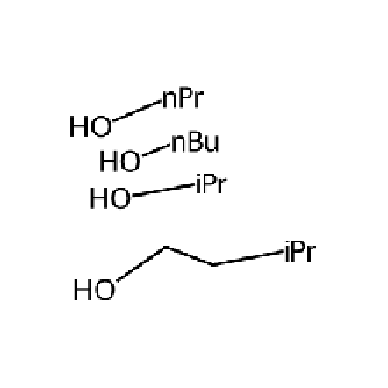 CC(C)CCO.CC(C)O.CCCCO.CCCO